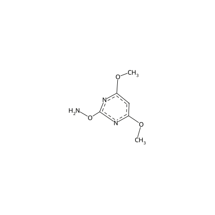 COc1cc(OC)nc(ON)n1